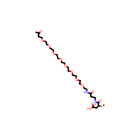 CSC(CC(=O)O)C(=O)NCCC(=O)NCCOCCOCCOCCOCCOCCOCCOCCOCCC(C)=O